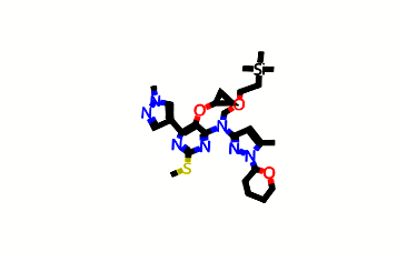 CSc1nc(-c2cnn(C)c2)c(OC2CC2)c(N(COCC[Si](C)(C)C)c2cc(C)n(C3CCCCO3)n2)n1